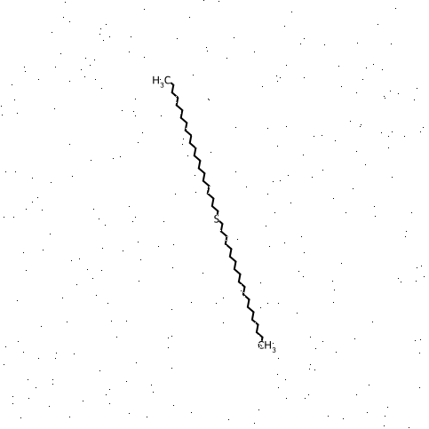 CCCCCCCCCCCCCCCCCCCCCCSCCCCCCCCCCCCCCCCCCCC